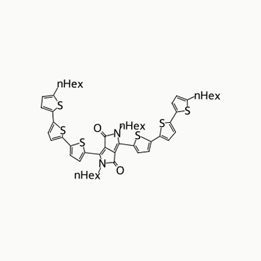 CCCCCCc1ccc(-c2ccc(-c3ccc(C4=C5C(=O)N(CCCCCC)C(c6ccc(-c7ccc(-c8ccc(CCCCCC)s8)s7)s6)=C5C(=O)N4CCCCCC)s3)s2)s1